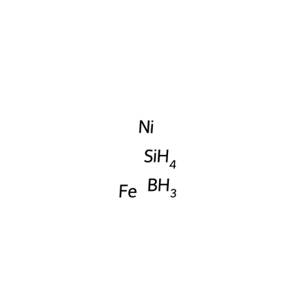 B.[Fe].[Ni].[SiH4]